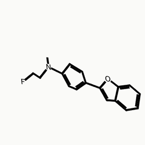 CN(CCF)c1ccc(-c2cc3ccccc3o2)cc1